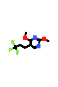 COc1ncc(CCC(F)(F)F)c(OC)n1